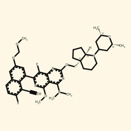 C#Cc1c(F)ccc2cc(OCOC)cc(-c3nc(OC)c4c(N(C)C)nc(OC[C@]56CCC[C@H]5N(C5C[C@@H](C)O[C@@H](C)C5)CCC6)nc4c3F)c12